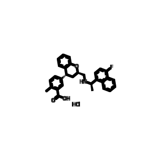 Cc1ccc([C@H]2C[C@H](CN[C@H](C)c3ccc(F)c4ccccc34)Oc3ccccc32)cc1C(=O)O.Cl